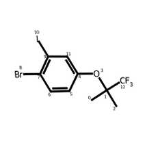 CC(C)(Oc1ccc(Br)c(I)c1)C(F)(F)F